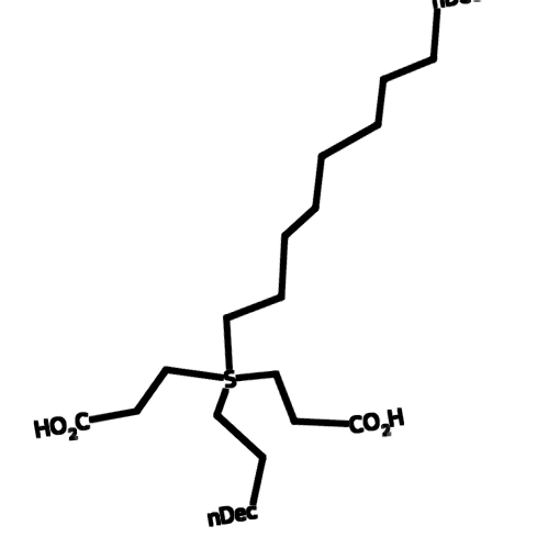 CCCCCCCCCCCCCCCCCCS(CCCCCCCCCCCC)(CCC(=O)O)CCC(=O)O